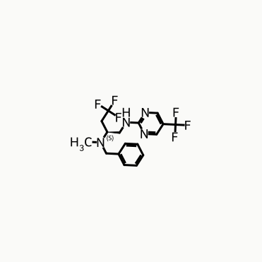 CN(Cc1ccccc1)[C@H](CNc1ncc(C(F)(F)F)cn1)CC(F)(F)F